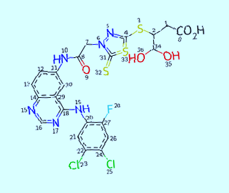 O=C(O)CC(Sc1nn(CC(=O)Nc2ccc3ncnc(Nc4cc(Cl)c(Cl)cc4F)c3c2)c(=S)s1)C(O)O